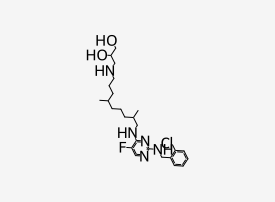 CC(CCCNCC(O)CO)CCCC(C)CNc1nc(NCc2ccccc2Cl)ncc1F